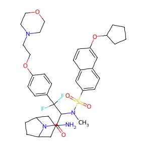 CN(C(C(=O)N1C2CCC1CC(N)C2)C(F)(F)c1ccc(OCCN2CCOCC2)cc1)S(=O)(=O)c1ccc2cc(OC3CCCC3)ccc2c1